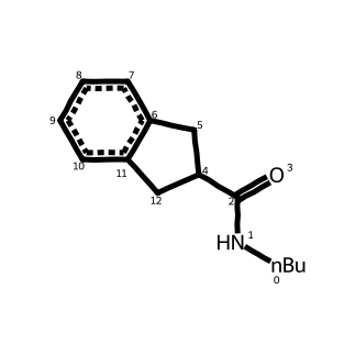 CCCCNC(=O)C1Cc2ccccc2C1